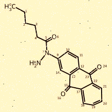 CCCCCC(=O)N(N)c1ccc2c(c1)C(=O)c1ccccc1C2=O